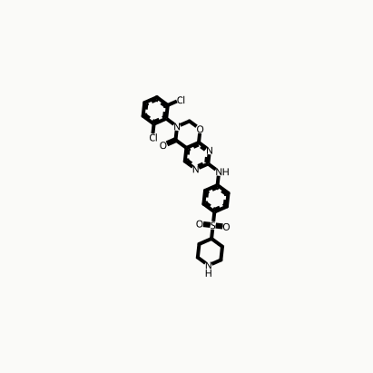 O=C1c2cnc(Nc3ccc(S(=O)(=O)C4CCNCC4)cc3)nc2OCN1c1c(Cl)cccc1Cl